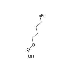 CCCCCCCOOO